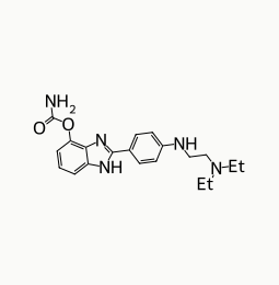 CCN(CC)CCNc1ccc(-c2nc3c(OC(N)=O)cccc3[nH]2)cc1